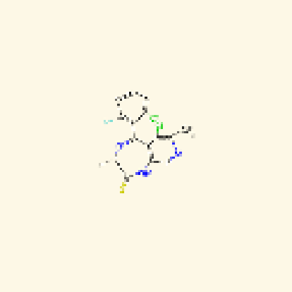 C[C@@H]1N=C(c2c(F)cccc2Cl)c2c(cnc(C(F)(F)F)c2Cl)NC1=S